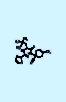 CN1CCC(C#N)(NC(=O)C(CC(C)(C)C)NC(=O)c2cccs2)CC1